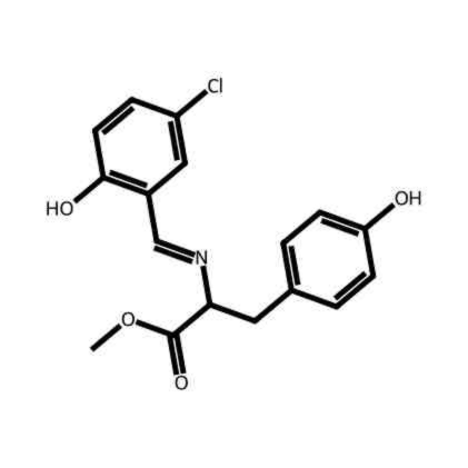 COC(=O)C(Cc1ccc(O)cc1)N=Cc1cc(Cl)ccc1O